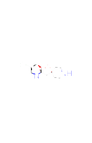 C[C@H](c1ccc(Cl)cn1)C1(O)CCNCC1